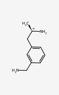 C[C@@H](N)Cc1cccc(CN)c1